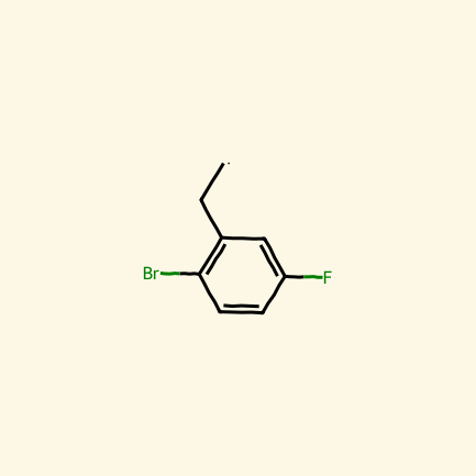 [CH2]Cc1cc(F)ccc1Br